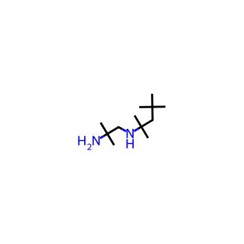 CC(C)(C)CC(C)(C)NCC(C)(C)N